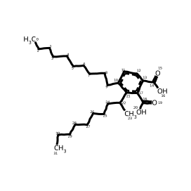 CCCCCCCCCCc1ccc(C(=O)O)c(C(=O)O)c1C(C)CCCCCCCC